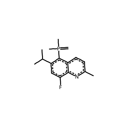 C=P(C)(C)c1c(C(C)C)cc(F)c2nc(C)ccc12